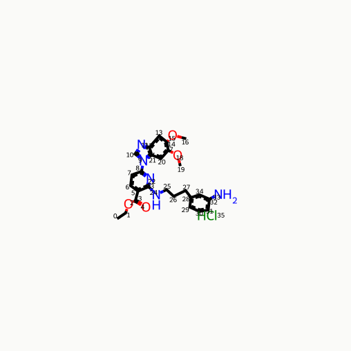 CCOC(=O)c1ccc(-n2cnc3cc(OC)c(OC)cc32)nc1NCCCc1cccc(N)c1.Cl